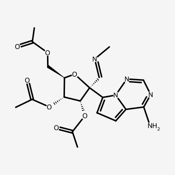 CN=C[C@@]1(c2ccc3c(N)ncnn23)O[C@H](COC(C)=O)[C@@H](OC(C)=O)[C@H]1OC(C)=O